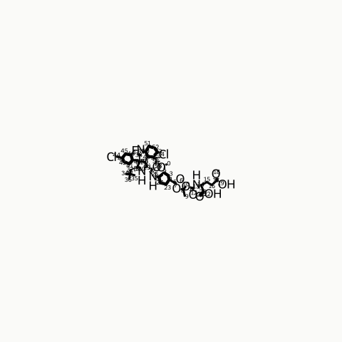 COc1cc(C(=O)OC(C)OC(=O)NC(CCC(=O)O)C(=O)O)ccc1NC(=O)[C@@H]1N[C@@H](CC(C)(C)C)[C@](C#N)(c2ccc(Cl)cc2F)[C@H]1c1cccc(Cl)c1F